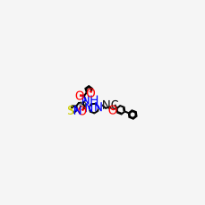 N#CC1(OCCCN2CCCN(C(=O)[C@@H](Cc3cscn3)NC(=O)c3ccco3)CC2)C=CC(c2ccccc2)=CC1